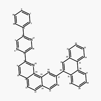 c1ccc(-c2cnc(-c3ccc4ccc5ccc(-c6cc7ccccc7c7ccccc67)nc5c4n3)cn2)cc1